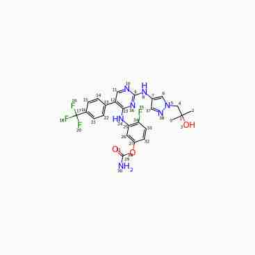 CC(C)(O)Cn1cc(Nc2ncc(-c3ccc(C(F)(F)F)cc3)c(Nc3cc(OC(N)=O)ccc3F)n2)cn1